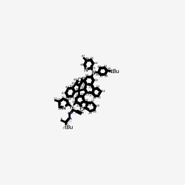 C#C/C(=C\C=C(/C)C(C)(C)C)N(c1ccc(C)cn1)c1cc2c(c3c1oc1ccccc13)-c1c(c3ccc(N(c4ccc(C(C)(C)C)cc4)c4ccc(C)cn4)cc3c3ccccc13)C21c2ccccc2-c2ccccc21